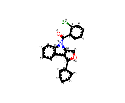 O=C(c1ccccc1Br)n1c2ccccc2c2c(-c3ccccc3)occ21